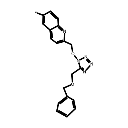 Fc1ccc2nc(COn3nnnc3COCc3ccccc3)ccc2c1